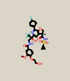 COc1cc(C(=O)NCC(O)(c2cc3c(c(-c4ccc(F)cc4)n2)OC[C@]3(C)C(=O)NS(=O)(=O)C2CC2)C(F)(F)F)ccc1OCCO